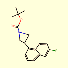 CC(C)(C)OC(=O)N1CC(c2cccc3cc(F)ccc23)C1